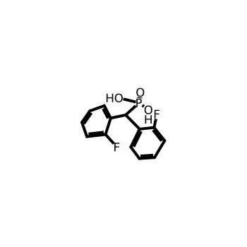 O=P(O)(O)C(c1ccccc1F)c1ccccc1F